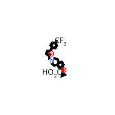 O=C(O)C1(Oc2ccc3c(c2)CCN(Cc2ccc(-c4ccc(C(F)(F)F)cc4)o2)CC3)CC1